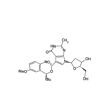 COc1ccc([N+](=O)[O-])c([C@@H](OCc2cn([C@H]3CC(O)[C@@H](CO)O3)c3nc(C)[nH]c(=O)c23)C(C)(C)C)c1